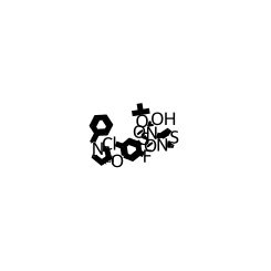 CC(C)(C)OC(O)N(c1cscn1)S(=O)(=O)c1cc(Cl)c(O[C@H]2CCN(Cc3ccccc3)C2)cc1F